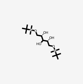 CC(C)(C)[Si](C)(C)OC[C@@H](O)C(O)[C@@H](O)CO[Si](C)(C)C(C)(C)C